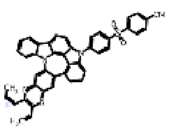 C=Cc1nc2cc3c4cccc5c4c4c(ccc6c7ccccc7n(c3cc2nc1/C=C\C)c64)n5-c1ccc(S(=O)(=O)c2ccc(C#N)cc2)cc1